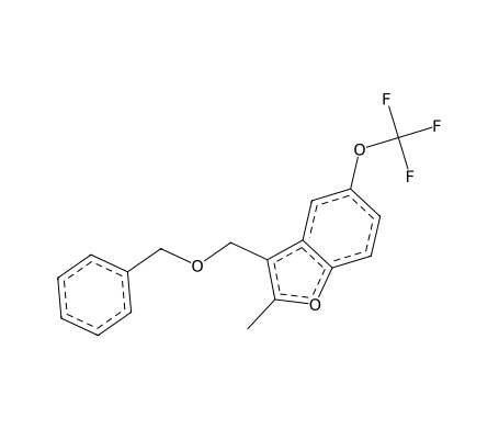 Cc1oc2ccc(OC(F)(F)F)cc2c1COCc1ccccc1